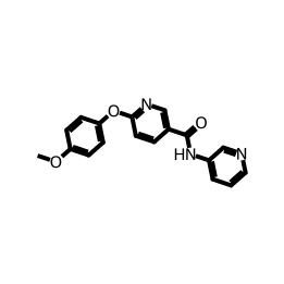 COc1ccc(Oc2ccc(C(=O)Nc3cccnc3)cn2)cc1